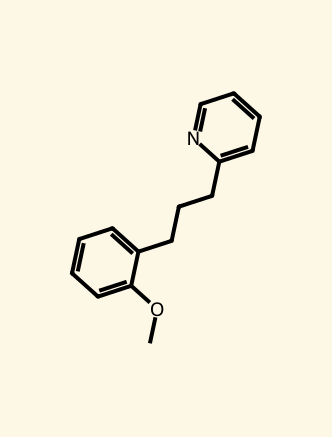 COc1ccccc1CCCc1ccccn1